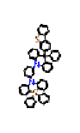 c1ccc(C2(c3ccc4c(c3)sc3ccccc34)c3ccccc3N(c3cccc(N4c5ccccc5S(c5ccccc5)(c5ccccc5)c5ccccc54)c3)c3ccccc32)cc1